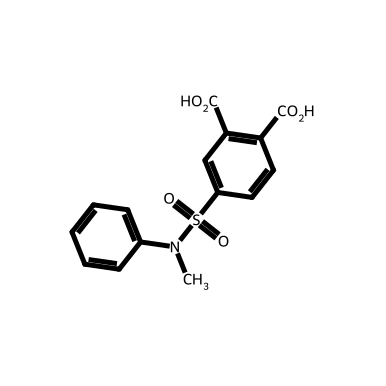 CN(c1ccccc1)S(=O)(=O)c1ccc(C(=O)O)c(C(=O)O)c1